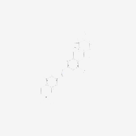 CC1(C)CCc2c(O)cc(/C=C/c3cc(O)c4c(c3)C[C@@H]3C(C)(C)[C@H](O)[C@H](O)C[C@@]3(C)O4)cc2O1